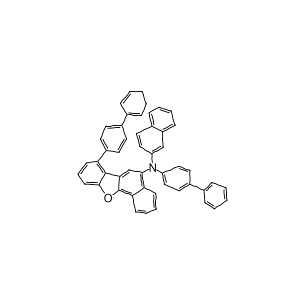 C1=CC(c2ccc(-c3cccc4oc5c6ccccc6c(N(c6ccc(-c7ccccc7)cc6)c6ccc7ccccc7c6)cc5c34)cc2)=CCC1